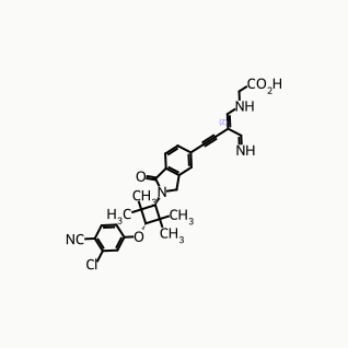 CC1(C)[C@H](Oc2ccc(C#N)c(Cl)c2)C(C)(C)[C@H]1N1Cc2cc(C#C/C(C=N)=C/NCC(=O)O)ccc2C1=O